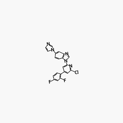 Fc1ccc(-c2cc(Cl)nc(-n3cnc4cc(-n5ccnc5)ccc43)c2)c(F)c1